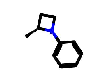 C[C@@H]1CCN1c1c[c]ccc1